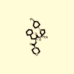 CC(C)[C@H]1CC[C@H](N2CC[C@@](C#N)(NC(=O)[C@@H](CC(=O)N3CCOCC3)CC3CCCCC3)C2)CC1